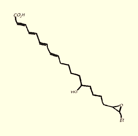 CCC1OC1CCCCC(O)CCCCC=CC=CC=CC=CC(=O)O